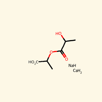 CC(O)C(=O)OC(C)C(=O)O.[CaH2].[NaH]